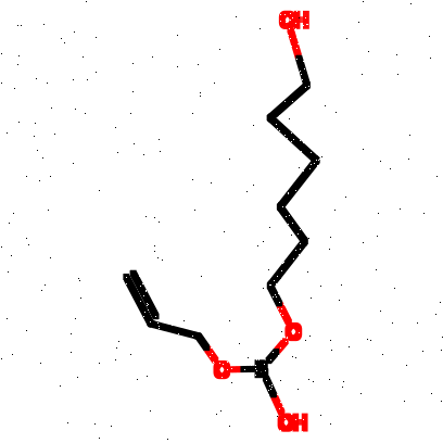 C=CCOB(O)OCCCCCCO